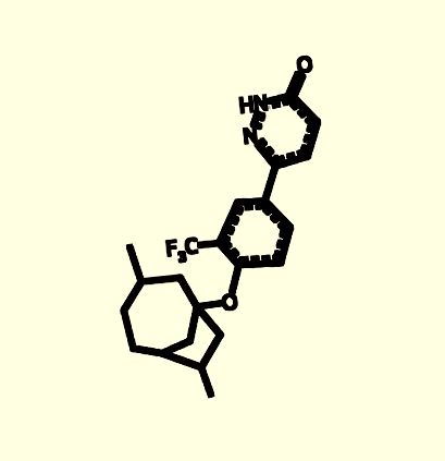 CC1CCC2CC(Oc3ccc(-c4ccc(=O)[nH]n4)cc3C(F)(F)F)(C1)CC2C